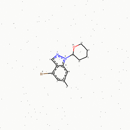 Cc1cc(Br)c2cnn(C3CCCCO3)c2c1